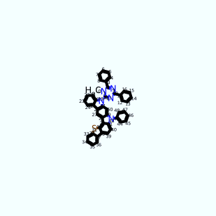 CN1C(c2ccccc2)=NC(c2ccccc2)=NC1n1c2ccccc2c2cc3c4c5sc6ccccc6c5ccc4n(-c4ccccc4)c3cc21